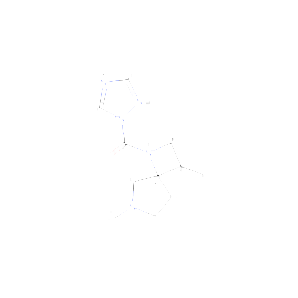 CC(C)N1CCC2(C1)C(C)CN2C(=O)n1cncn1